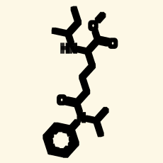 CCC(C)NC(CCCC(=O)N(c1ccccc1)C(C)C)C(=O)OC